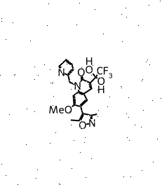 COc1cc2c(cc1-c1c(C)noc1C)cc(C(O)(O)C(F)(F)F)c(=O)n2Cc1ccccn1